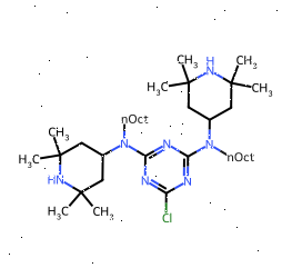 CCCCCCCCN(c1nc(Cl)nc(N(CCCCCCCC)C2CC(C)(C)NC(C)(C)C2)n1)C1CC(C)(C)NC(C)(C)C1